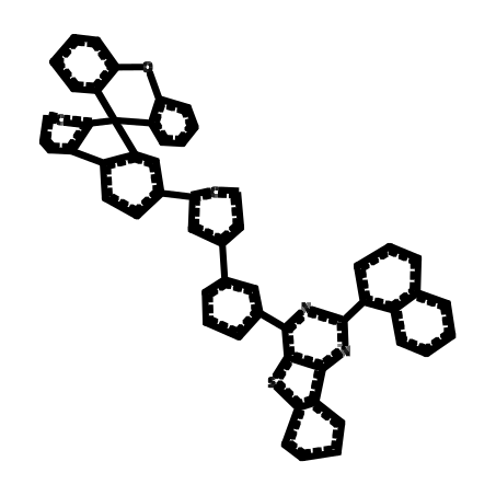 c1cc(-c2cccc(-c3nc(-c4cccc5ccccc45)nc4c3sc3ccccc34)c2)cc(-c2ccc3c(c2)C2(c4ccccc4Oc4ccccc42)c2ccccc2-3)c1